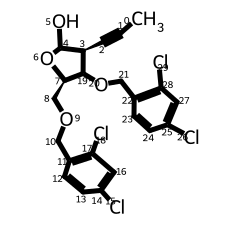 CC#C[C@@H]1C(O)O[C@H](COCc2ccc(Cl)cc2Cl)C1OCc1ccc(Cl)cc1Cl